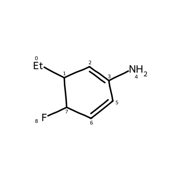 CCC1C=C(N)C=CC1F